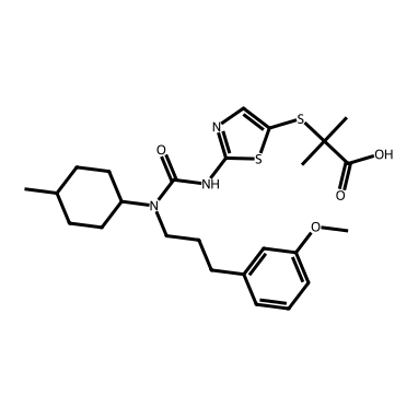 COc1cccc(CCCN(C(=O)Nc2ncc(SC(C)(C)C(=O)O)s2)C2CCC(C)CC2)c1